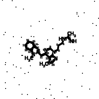 CC(=N)NCCCN1C=NC(=Cc2sc3ccccc3[n+]2C)c2c1ncn2C